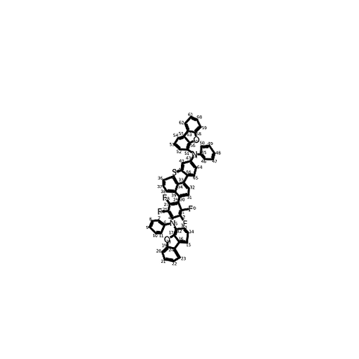 Fc1c(F)c(N(c2ccccc2)c2cccc3c2oc2ccccc23)c(F)c(F)c1-c1ccc2c3c(cccc13)Sc1cc(N(c3ccccc3)c3cccc4c3oc3ccccc34)ccc1-2